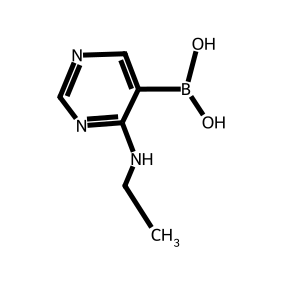 CCNc1ncncc1B(O)O